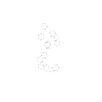 c1ccc(-c2cccc(-c3nc(-c4ccc5c(ccc6ccc7cc8sc9ccccc9c8cc7c65)c4)nc(-c4cccc5oc6ccccc6c45)n3)c2)cc1